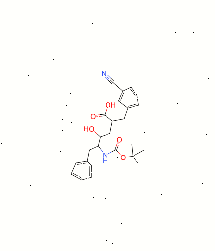 CC(C)(C)OC(=O)NC(Cc1ccccc1)C(O)CC(Cc1cccc(C#N)c1)C(=O)O